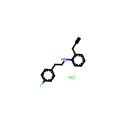 C#CCc1ccccc1NCCc1ccc(F)cc1.Cl